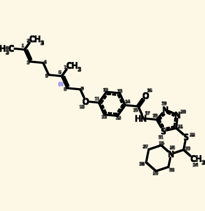 CC(C)=CCC/C(C)=C/COc1ccc(C(=O)Nc2nnc(SC(C)N3CCCCC3)s2)cc1